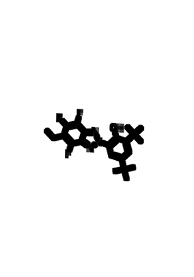 CCc1c(F)c(F)c2nn(-c3cc(C(C)(C)C)cc(C(C)(C)C)c3O)nc2c1F